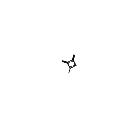 Cl.O=c1cc(O)c1=O